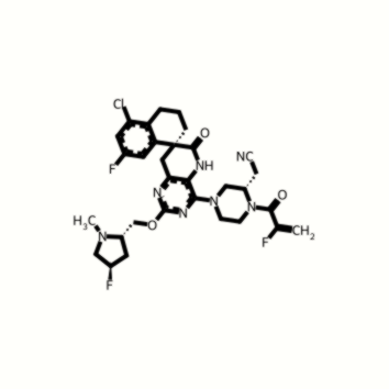 C=C(F)C(=O)N1CCN(c2nc(OC[C@@H]3C[C@@H](F)CN3C)nc3c2NC(=O)[C@@]2(CCCc4c(Cl)cc(F)cc42)C3)C[C@@H]1CC#N